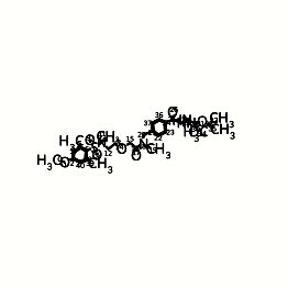 COc1cc(C)c(S(=O)(=O)N(C)CCOCC(=O)N(C)Cc2ccc(C(=O)NNC(=O)OC(C)(C)C)cc2)c(C)c1